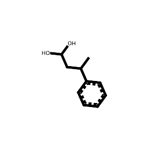 CC(CC(O)O)c1ccccc1